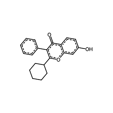 O=c1c(-c2ccccc2)c(C2CCCCC2)oc2cc(O)ccc12